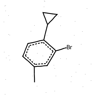 Cc1ccc(C2CC2)c(Br)c1